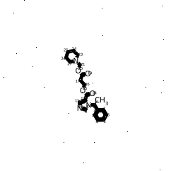 C[C@H](c1ccccc1)n1cncc1C(=O)OCCC(=O)OCN1CCCCC1